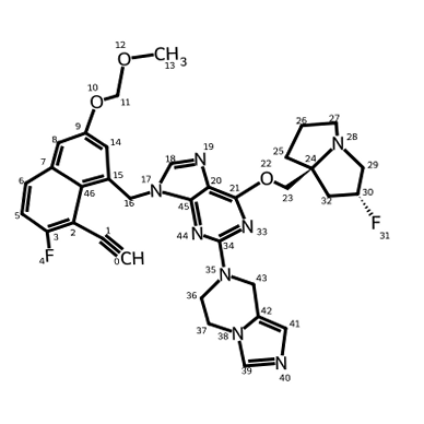 C#Cc1c(F)ccc2cc(OCOC)cc(Cn3cnc4c(OC[C@@]56CCCN5C[C@H](F)C6)nc(N5CCn6cncc6C5)nc43)c12